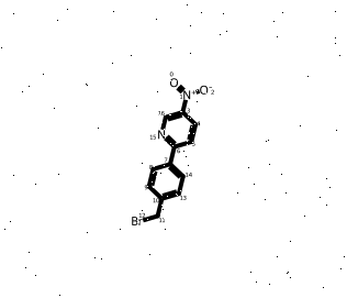 O=[N+]([O-])c1ccc(-c2ccc(CBr)cc2)nc1